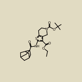 CCOC(=O)c1c(NC(=O)C23CC4CC(CC2C4)C3)sc2c1CN(C(=O)OC(C)(C)C)CC2